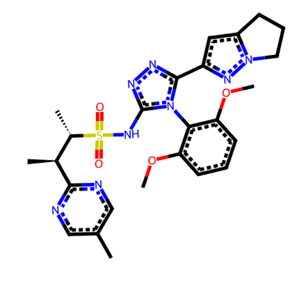 COc1cccc(OC)c1-n1c(NS(=O)(=O)[C@@H](C)[C@H](C)c2ncc(C)cn2)nnc1-c1cc2n(n1)CCC2